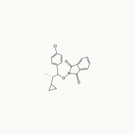 C[C@@H](C1CC1)C(ON1C(=O)c2ccccc2C1=O)c1ccc(Cl)cc1